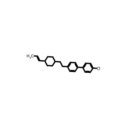 C/C=C/C1CCC(CCc2ccc(-c3ccc(Cl)cc3)cc2)CC1